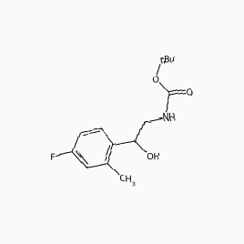 Cc1cc(F)ccc1C(O)CNC(=O)OC(C)(C)C